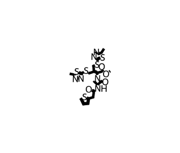 COC(=O)C(=C(CSc1nnc(C)s1)CSc1nnc(C)s1)N1CC(NC(=O)Cc2cccs2)C1=O